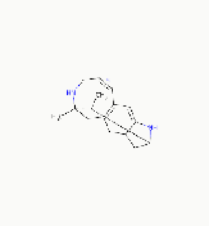 CC1C2CC3CC4=C(C=C3N2)/C=C\CNC1(C)C4